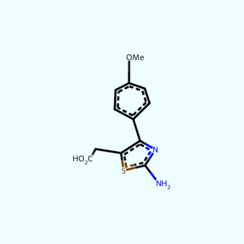 COc1ccc(-c2nc(N)sc2CC(=O)O)cc1